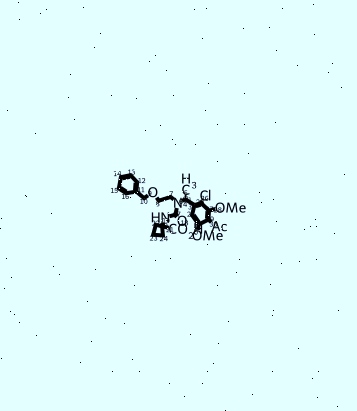 COc1cc([C@@H](C)N(CCOCc2ccccc2)C(=O)NC2(C(=O)O)CCC2)c(Cl)c(OC)c1C(C)=O